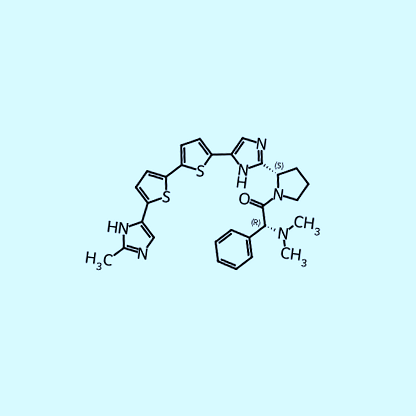 Cc1ncc(-c2ccc(-c3ccc(-c4cnc([C@@H]5CCCN5C(=O)[C@@H](c5ccccc5)N(C)C)[nH]4)s3)s2)[nH]1